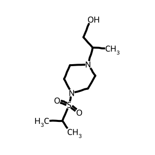 CC(CO)N1CCN(S(=O)(=O)C(C)C)CC1